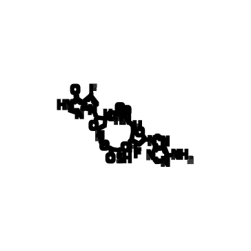 Nc1ncnc2c1ncn2[C@@H]1O[C@@H]2CNS(=O)(=O)O[C@@H]3C[C@@H](COC(=O)C(S)O[C@H]2[C@H]1F)O[C@H]3n1cc(F)c2c(=O)[nH]cnc21